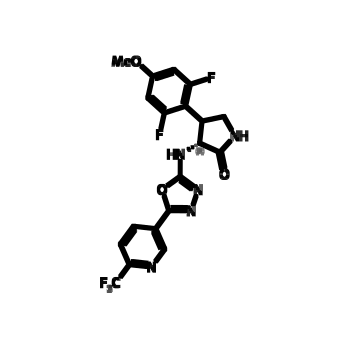 COc1cc(F)c(C2CNC(=O)[C@@H]2Nc2nnc(-c3ccc(C(F)(F)F)nc3)o2)c(F)c1